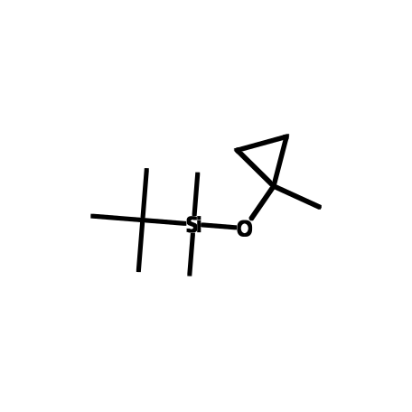 CC1(O[Si](C)(C)C(C)(C)C)CC1